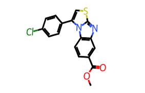 COC(=O)c1ccc2c(c1)nc1scc(-c3ccc(Cl)cc3)n12